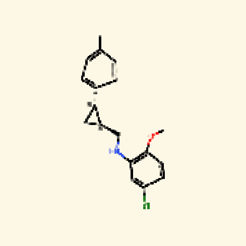 COc1ccc(Cl)cc1NC[C@H]1C[C@@H]1c1ccc(C)cc1